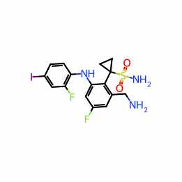 NCc1cc(F)cc(Nc2ccc(I)cc2F)c1C1(S(N)(=O)=O)CC1